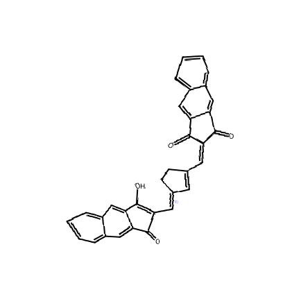 O=C1C(=CC2=C/C(=C/C3=C(O)c4cc5ccccc5cc4C3=O)CC2)C(=O)c2cc3ccccc3cc21